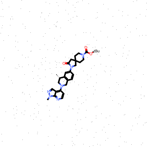 C[C@H]1CN(c2ccnc3c2cnn3C)Cc2ccc(N3CC4(CCN(C(=O)OC(C)(C)C)CC4)CC3=O)cc21